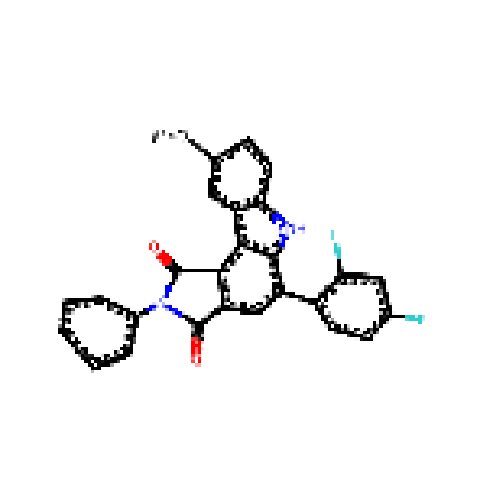 COc1ccc2[nH]c3c(-c4ccc(F)cc4F)cc4c(c3c2c1)C(=O)N(c1ccccc1)C4=O